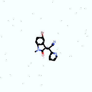 CN1C(=O)/C(=C(/C#N)c2ccccn2)c2cc(Br)ccc21